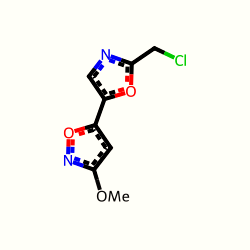 COc1cc(-c2cnc(CCl)o2)on1